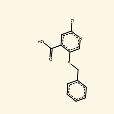 O=C(O)c1cc(Cl)ncc1SCc1ccccc1